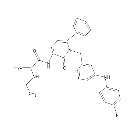 CCNC(C)C(=O)Nc1ccc(-c2ccccc2)n(Cc2cccc(Nc3ccc(F)cc3)c2)c1=O